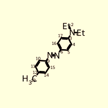 CCN(CC)c1ccc(N=Nc2ccc(C)cc2)cc1